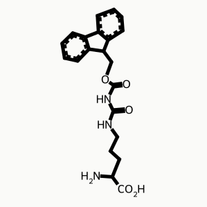 NC(CCCNC(=O)NC(=O)OCC1c2ccccc2-c2ccccc21)C(=O)O